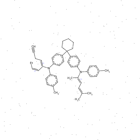 C#CC/C=C(\C=C/CC)N(c1ccc(C)cc1)c1ccc(C2(c3ccc(N(/C(C)=C/C=C(C)C)c4ccc(C)cc4)cc3)CCCCC2)cc1